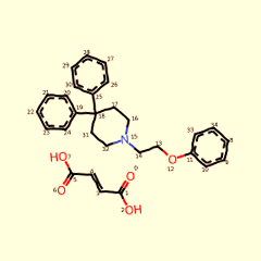 O=C(O)/C=C/C(=O)O.c1ccc(OCCN2CCC(c3ccccc3)(c3ccccc3)CC2)cc1